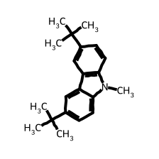 Cn1c2ccc(C(C)(C)C)cc2c2cc(C(C)(C)C)ccc21